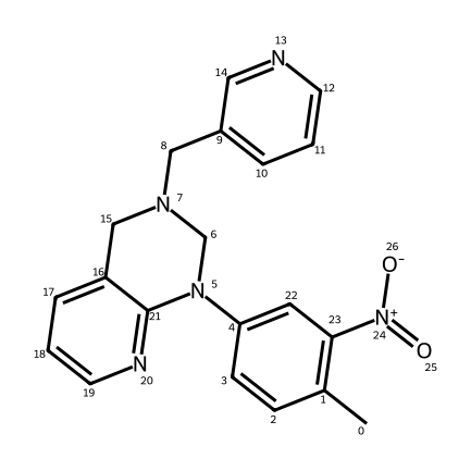 Cc1ccc(N2CN(Cc3cccnc3)Cc3cccnc32)cc1[N+](=O)[O-]